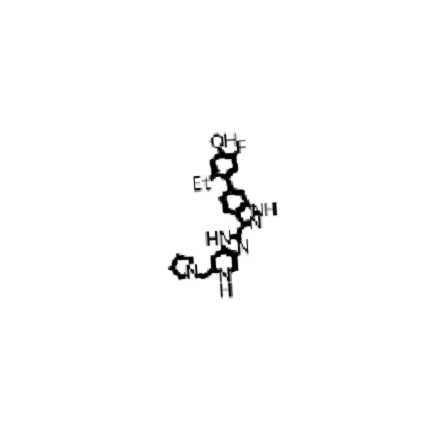 CCc1cc(O)c(F)cc1-c1ccc2c(-c3nc4c([nH]3)CC(CN3CCCC3)NC4)n[nH]c2c1